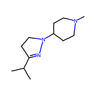 CC(C)C1=NN(C2CCN(C)CC2)CC1